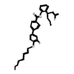 CCCCCCCCOc1ccc(-c2ccc(C(=O)Oc3ccccc3C(CCC)CC(C)F)cc2)cc1F